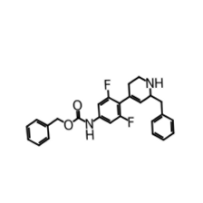 O=C(Nc1cc(F)c(C2=CC(Cc3ccccc3)NCC2)c(F)c1)OCc1ccccc1